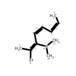 C\C=C/C=C\C(=C(/C)CC)N(C)C